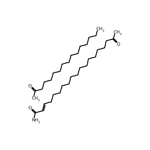 CC(=O)CCCCCCCCCCCCCCC=CC(N)=O.CCCCCCCCCCCCCCC(C)=O